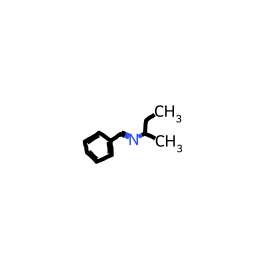 CCC(C)/N=C/c1ccccc1